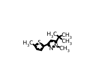 Cc1ccc(-c2cc(C(C)(C)C)n(C)n2)s1